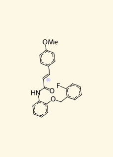 COc1ccc(/C=C/C(=O)Nc2ccccc2OCc2ccccc2F)cc1